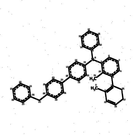 CC1=C(c2cccc(N(c3ccccc3)c3ccc(-c4ccc(Cc5ccccc5)cc4)cc3)c2C)CCC=C1